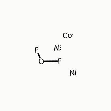 FOF.[Al].[Co].[Ni]